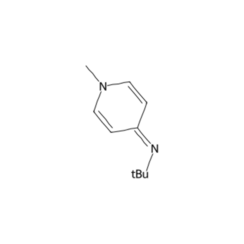 Cn1ccc(=NC(C)(C)C)cc1